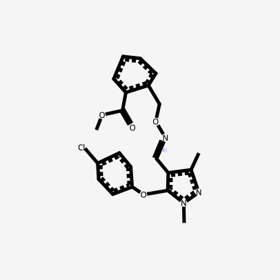 COC(=O)c1ccccc1CO/N=C/c1c(C)nn(C)c1Oc1ccc(Cl)cc1